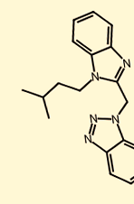 CC(C)CCn1c(Cn2nnc3ccccc32)nc2ccccc21